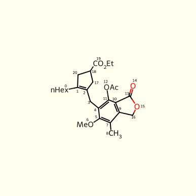 CCCCCCC1=C(Cc2c(OC)c(C)c3c(c2OC(C)=O)C(=O)OC3)CC(C(=O)OCC)C1